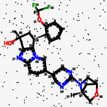 C[C@@]1(O)C[C@H](c2ccccc2OC(F)F)c2c1nc1ccc(-c3cnc(N4CC5C[C@H]4CO5)nc3)cn21